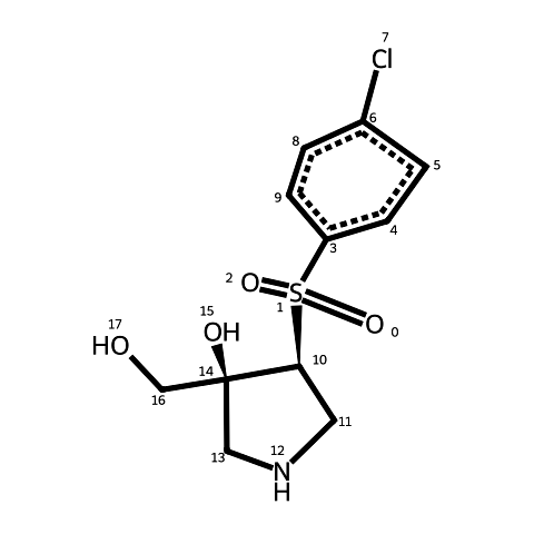 O=S(=O)(c1ccc(Cl)cc1)[C@H]1CNC[C@]1(O)CO